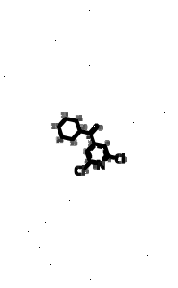 C=C(c1cc(Cl)nc(Cl)c1)C1CCCCC1